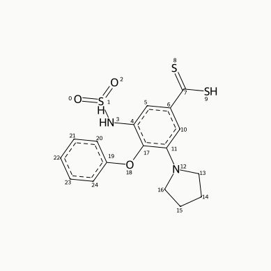 O=[SH](=O)Nc1cc(C(=S)S)cc(N2CCCC2)c1Oc1ccccc1